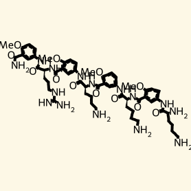 COc1ccc(NC(=O)[C@H](CCCNC(=N)N)NC(=O)c2cc(NC(=O)[C@H](CCCCN)NC(=O)c3cc(NC(=O)[C@H](CCCCN)NC(=O)c4cc(NC(=O)[C@@H](N)CCCCN)ccc4OC)ccc3OC)ccc2OC)cc1C(N)=O